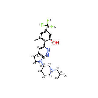 Cc1cc(C(F)(F)F)cc(O)c1-c1cc2c(nn1)N([C@@H]1CCCN(CC(C)C)C1)CC2